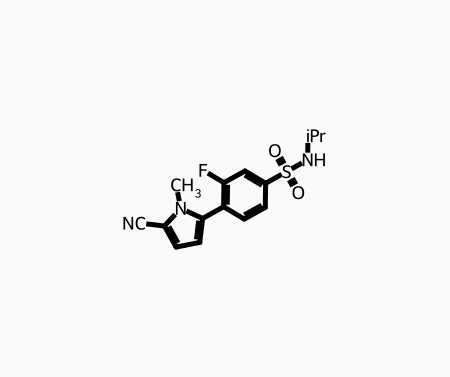 CC(C)NS(=O)(=O)c1ccc(-c2ccc(C#N)n2C)c(F)c1